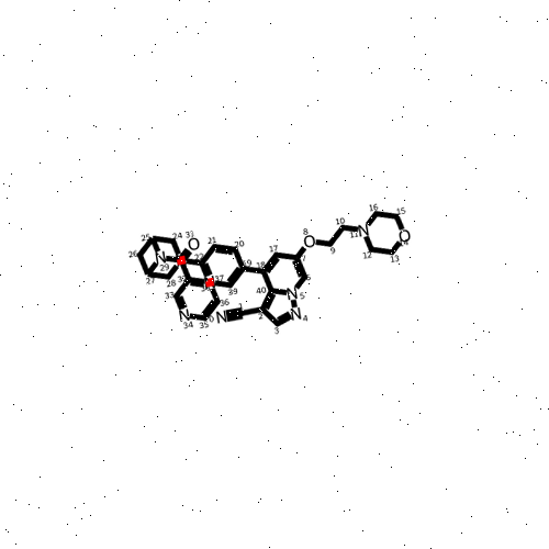 N#Cc1cnn2cc(OCCN3CCOCC3)cc(-c3ccc(N4CC5CC(C4)N5C(=O)c4cnccn4)nc3)c12